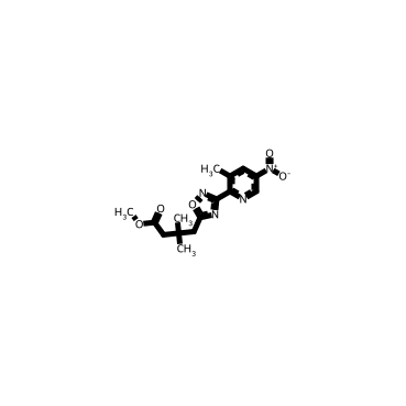 COC(=O)CC(C)(C)Cc1nc(-c2ncc([N+](=O)[O-])cc2C)no1